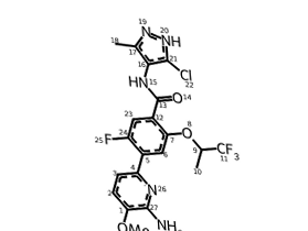 COc1ccc(-c2cc(OC(C)C(F)(F)F)c(C(=O)Nc3c(C)n[nH]c3Cl)cc2F)nc1N